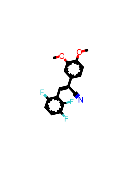 COc1ccc(C(C#N)=Cc2c(F)ccc(F)c2F)cc1OC